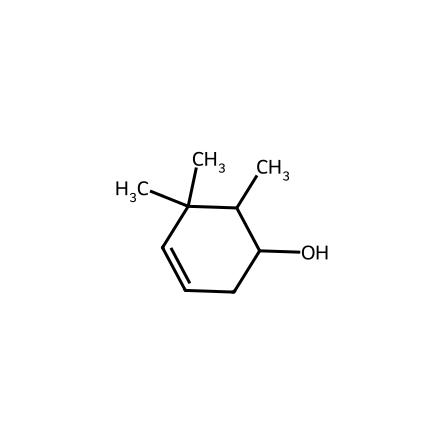 CC1C(O)CC=CC1(C)C